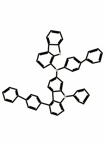 c1ccc(-c2ccc(-c3cccc4c3c3ccc(N(c5ccc(-c6ccccc6)cc5)c5cccc6c5sc5ccccc56)cc3n4-c3ccccc3)cc2)cc1